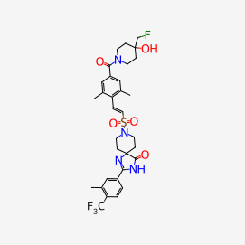 Cc1cc(C2=NC3(CCN(S(=O)(=O)C=Cc4c(C)cc(C(=O)N5CCC(O)(CF)CC5)cc4C)CC3)C(=O)N2)ccc1C(F)(F)F